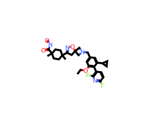 CCOc1cc(CN2CC3(CC(C4(C)CCC(C)(C(=O)N=O)CC4)=NO3)C2)cc(C2CC2)c1-c1ccc(F)nc1F